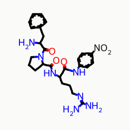 NC(N)=NCCCC(NC(=O)C1CCCN1C(=O)C(N)Cc1ccccc1)C(=O)Nc1ccc([N+](=O)[O-])cc1